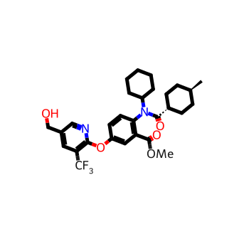 COC(=O)c1cc(Oc2ncc(CO)cc2C(F)(F)F)ccc1N(C(=O)[C@H]1CC[C@H](C)CC1)C1CCCCC1